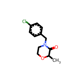 CC1OCCN(Cc2ccc(Cl)cc2)C1=O